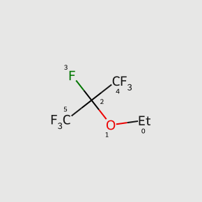 CCOC(F)(C(F)(F)F)C(F)(F)F